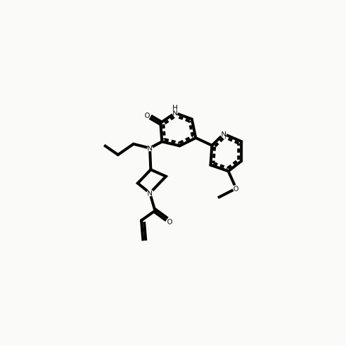 C=CC(=O)N1CC(N(CCC)c2cc(-c3cc(OC)ccn3)c[nH]c2=O)C1